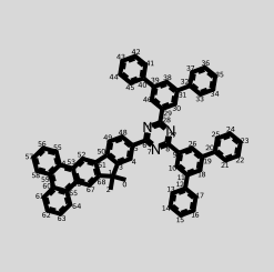 CC1(C)c2cc(-c3nc(-c4cc(-c5ccccc5)cc(-c5ccccc5)c4)nc(-c4cc(-c5ccccc5)cc(-c5ccccc5)c4)n3)ccc2-c2cc3c4ccccc4c4ccccc4c3cc21